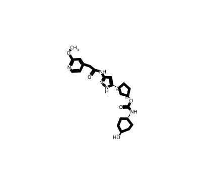 COc1cc(CC(=O)Nc2cc([C@@H]3CC[C@H](OC(=O)N[C@H]4CC[C@H](O)CC4)C3)[nH]n2)ccn1